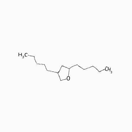 CCCCCC1COC(CCCCC)C1